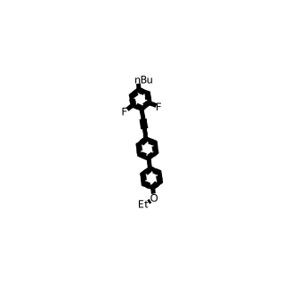 CCCCc1cc(F)c(C#Cc2ccc(-c3ccc(OCC)cc3)cc2)c(F)c1